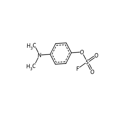 CN(C)c1ccc(OS(=O)(=O)F)cc1